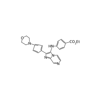 CCOC(=O)c1ccc(Nc2c(-c3ccc(N4CCOCC4)cc3)nc3cnccn23)cc1